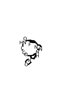 O=C1NCCCCOCc2cc(ccc2N2CCOCC2)Nc2nccc(n2)-c2ccc1c(F)c2